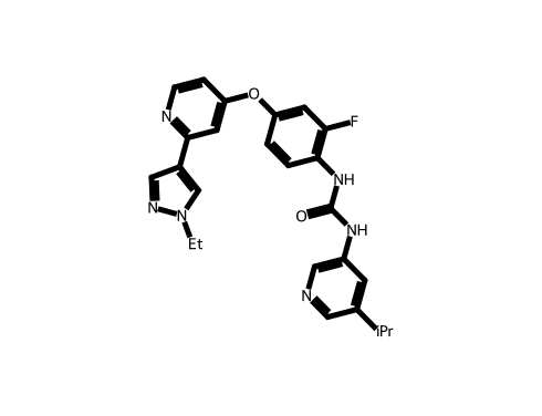 CCn1cc(-c2cc(Oc3ccc(NC(=O)Nc4cncc(C(C)C)c4)c(F)c3)ccn2)cn1